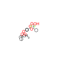 CC1(OC(=O)Oc2ccc(C(=O)OC(C3CCCCC3)C(F)(F)C(=O)O)cc2)C2CC3CC(C2)CC1C3